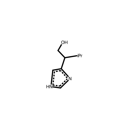 CC(C)C(CO)c1c[nH]cn1